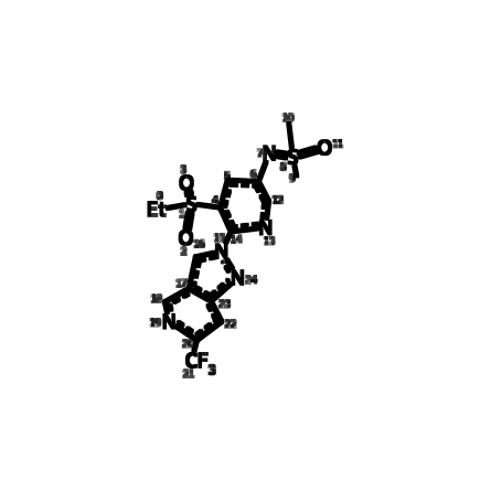 CCS(=O)(=O)c1cc(N=S(C)(C)=O)cnc1-n1cc2cnc(C(F)(F)F)cc2n1